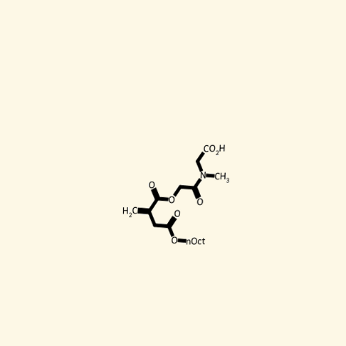 C=C(CC(=O)OCCCCCCCC)C(=O)OCC(=O)N(C)CC(=O)O